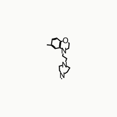 Cc1ccc2c(c1)N(CCN1CCN(C)CC1)CCO2